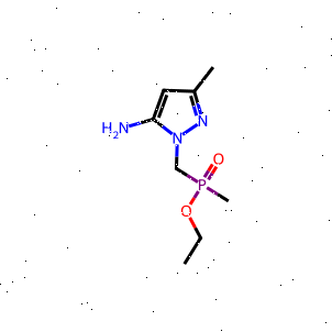 CCOP(C)(=O)Cn1nc(C)cc1N